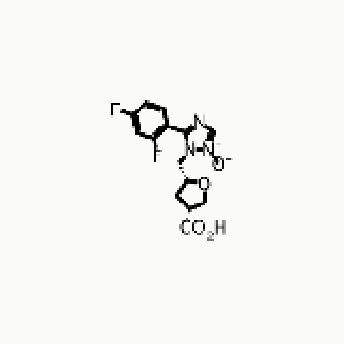 O=C(O)[C@H]1CO[C@@H](Cn2c(-c3ccc(F)cc3F)nc[n+]2[O-])C1